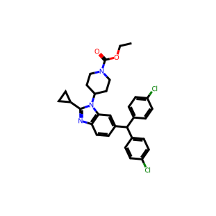 CCOC(=O)N1CCC(n2c(C3CC3)nc3ccc(C(c4ccc(Cl)cc4)c4ccc(Cl)cc4)cc32)CC1